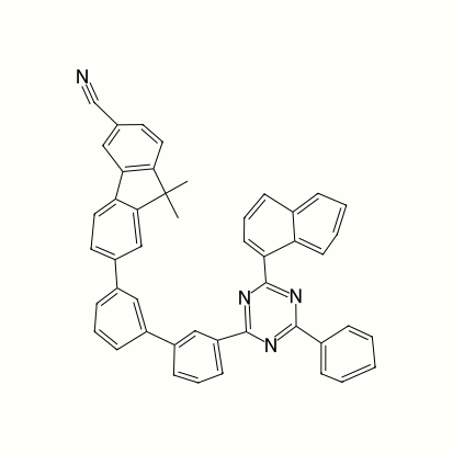 CC1(C)c2ccc(C#N)cc2-c2ccc(-c3cccc(-c4cccc(-c5nc(-c6ccccc6)nc(-c6cccc7ccccc67)n5)c4)c3)cc21